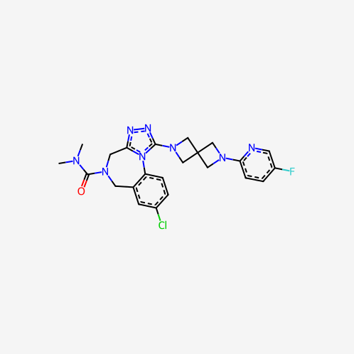 CN(C)C(=O)N1Cc2cc(Cl)ccc2-n2c(nnc2N2CC3(CN(c4ccc(F)cn4)C3)C2)C1